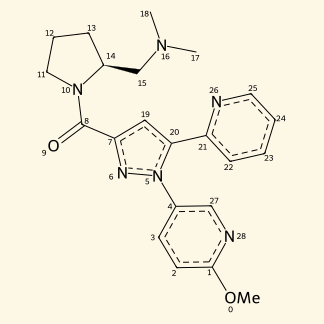 COc1ccc(-n2nc(C(=O)N3CCC[C@H]3CN(C)C)cc2-c2ccccn2)cn1